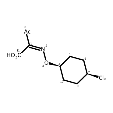 CC(=O)/C(=N/O[C@H]1CC[C@@H](Cl)CC1)C(=O)O